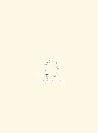 NC1(F)C=CC=CC1(N)F